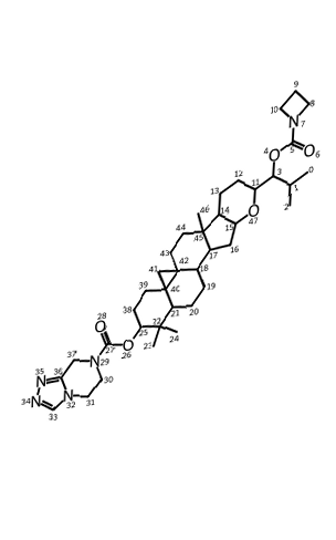 CC(C)C(OC(=O)N1CCC1)C1CCC2C(CC3C4CCC5C(C)(C)C(OC(=O)N6CCn7cnnc7C6)CCC56CC46CCC23C)O1